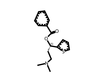 CN(C)CC[C@H](OC(=O)c1ccccc1)c1cccs1